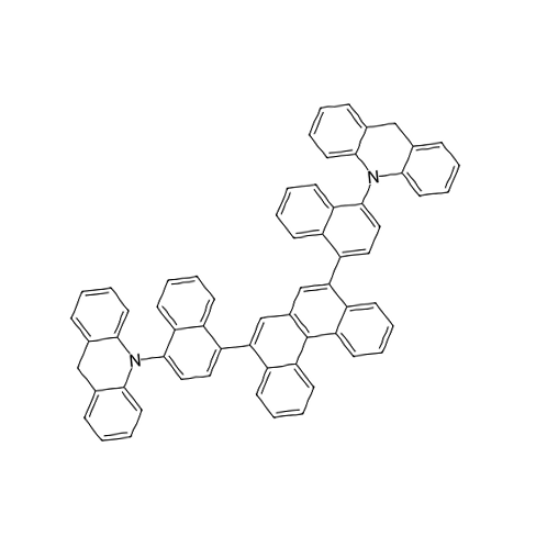 c1ccc2c(c1)Cc1ccccc1N2c1ccc(-c2cc3cc(-c4ccc(N5c6ccccc6Cc6ccccc65)c5ccccc45)c4ccccc4c3c3ccccc23)c2ccccc12